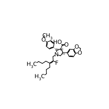 CCCCC(CCCC)=C(F)CN1C[C@H](c2ccc3c(c2)OCO3)[C@H](C(=O)O)[C@H]1c1ccc(OC)cc1